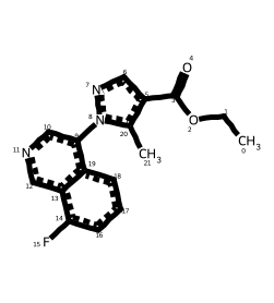 CCOC(=O)c1cnn(-c2cncc3c(F)cccc23)c1C